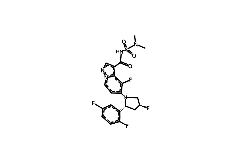 CN(C)S(=O)(=O)NC(=O)c1cnn2ccc(N3C[C@@H](F)C[C@@H]3c3cc(F)ccc3F)c(F)c12